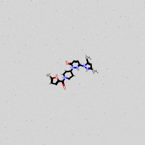 Cc1cc(C)n(-c2ccc(=O)n(C3CCN(C(=O)c4ccc(Br)o4)CC3)n2)n1